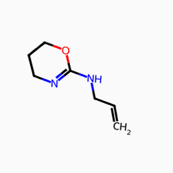 C=CCNC1=NCCCO1